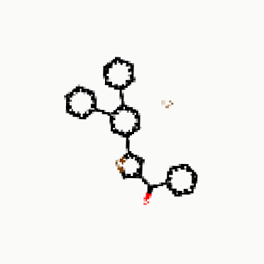 O=C(c1ccccc1)c1csc(-c2ccc(-c3ccccc3)c(-c3ccccc3)c2)c1.S